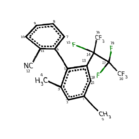 Cc1[c]c(C)c(-c2ccccc2C#N)c(C(F)(C(F)(F)F)C(F)(F)C(F)(F)F)c1